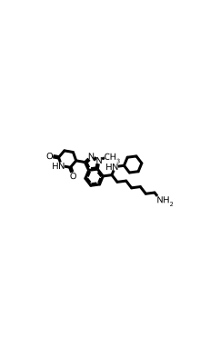 Cn1nc(C2CCC(=O)NC2=O)c2cccc(C(CCCCCCN)NC3CCCCC3)c21